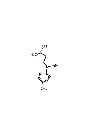 CCCN(CCN(C)C)c1ccc(C)cc1